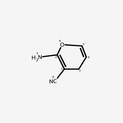 N#CC1=C(N)OC=CC1